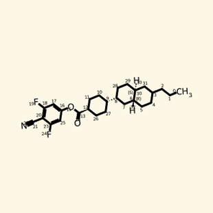 CCCC1CC[C@@H]2CC([C@H]3CC[C@H](C(=O)Oc4cc(F)c(C#N)c(F)c4)CC3)CC[C@H]2C1